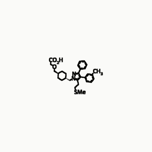 CSCCc1c(-c2cccc(C)c2)c(-c2ccccc2)nn1C[C@H]1CC[C@H](COCC(=O)O)CC1